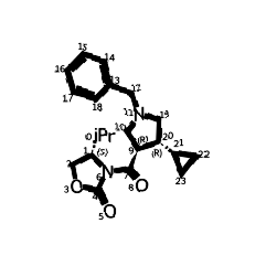 CC(C)[C@H]1COC(=O)N1C(=O)[C@H]1CN(Cc2ccccc2)C[C@@H]1C1CC1